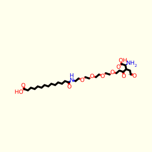 N[C@H](C(=O)O)C(C[C]=O)C(=O)CCOCCOCCOCCOCCNC(=O)CCCCCCCCCCCCC(=O)O